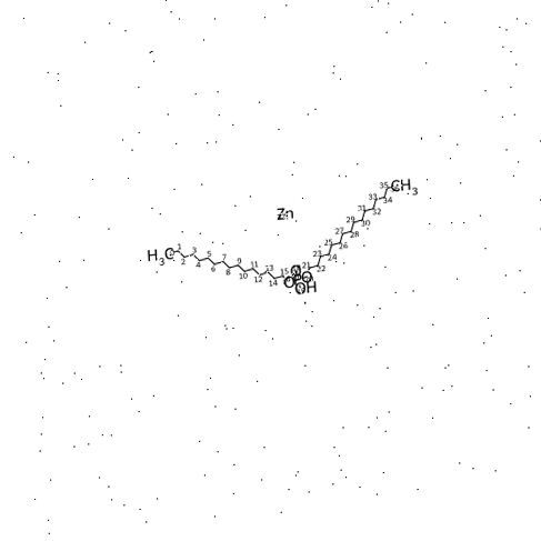 CCCCCCCCCCCCCCCCOP(=O)(O)OCCCCCCCCCCCCCCCC.[Zn]